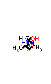 CC/C=C\C(=C/CC)C(=O)NC(C)(C#N)CO